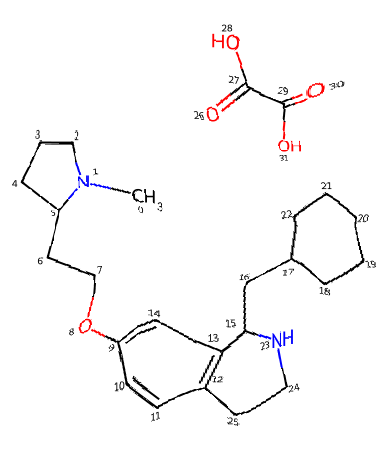 CN1CCCC1CCOc1ccc2c(c1)C(CC1CCCCC1)NCC2.O=C(O)C(=O)O